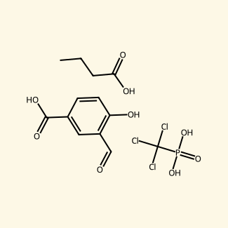 CCCC(=O)O.O=Cc1cc(C(=O)O)ccc1O.O=P(O)(O)C(Cl)(Cl)Cl